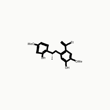 C=C(CC)c1cc(OC)c(O)cc1C[C@H](C)c1ccc(OC)cc1CCC